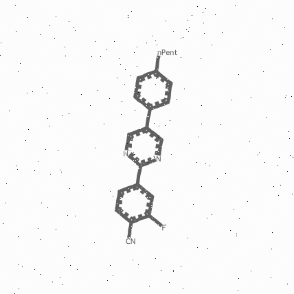 CCCCCc1ccc(-c2cnc(-c3ccc(C#N)c(F)c3)nc2)cc1